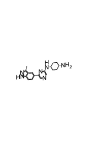 Cc1n[nH]c2ccc(-c3cncc(N[C@H]4CC[C@@H](N)CC4)n3)cc12